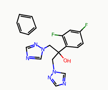 OC(Cn1cncn1)(Cn1cncn1)c1ccc(F)cc1F.c1ccccc1